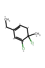 CCC1=CCC(C)(Cl)C(Cl)=C1